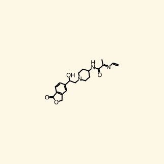 C=C/N=C(\C)C(=O)NC1CCN(CC(O)c2ccc3c(c2)COC3=O)CC1